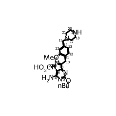 CCCCOc1nc(N)c2c(n1)c(Cc1ccc(CN3CCNCC3)cc1OC)nn2C(=O)O